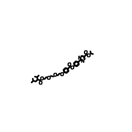 CC(C)CC(C(=O)OCCOCCOCCOc1ccc(C(=O)Oc2ccc(-c3ncc(C(=O)OC(C)C)cn3)cc2)cc1)C(C)C